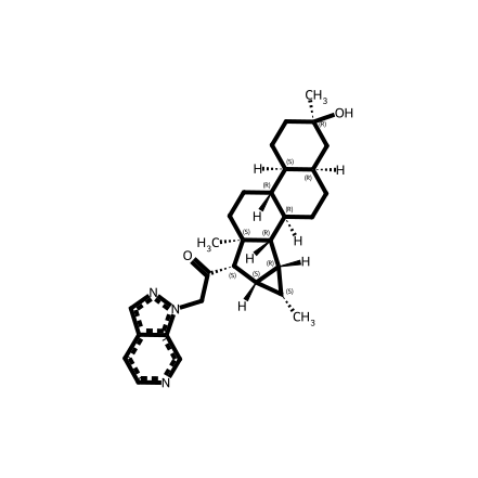 C[C@H]1[C@@H]2[C@H]1[C@H](C(=O)Cn1ncc3ccncc31)[C@@]1(C)CC[C@H]3[C@@H](CC[C@@H]4C[C@](C)(O)CC[C@@H]43)[C@H]21